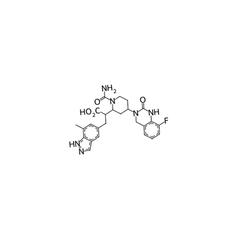 Cc1cc(CC(C(=O)O)C2CC(N3Cc4cccc(F)c4NC3=O)CCN2C(N)=O)cc2cn[nH]c12